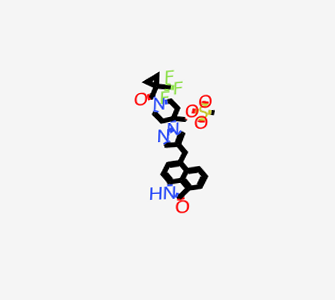 CS(=O)(=O)OCC1(n2cc(Cc3ccc4c5c(cccc35)C(=O)N4)cn2)CCN(C(=O)C2(C(F)(F)F)CC2)CC1